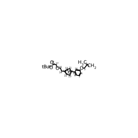 C=C(C)COc1cccc(C23CCC(CCOCC(=O)OC(C)(C)C)(CC2)CO3)c1